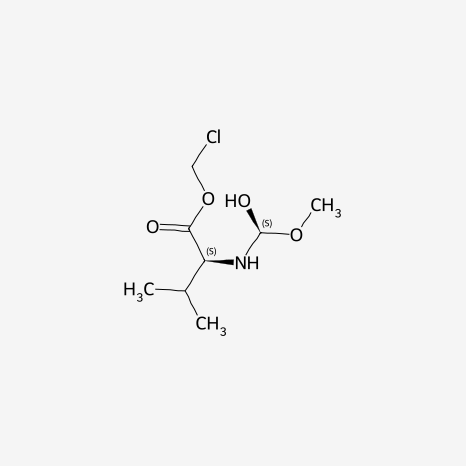 CO[C@H](O)N[C@H](C(=O)OCCl)C(C)C